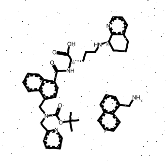 CC(C)(C)OC(=O)N(Cc1ccccn1)Cc1ccc(C(=O)N[C@@H](CCCN[C@@H]2CCCc3cccnc32)C(=O)O)c2ccccc12.NCc1cccc2ccccc12